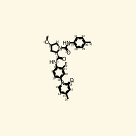 CO[C@@H]1C[C@H](C(=O)Nc2ccc(-n3ccc(C)cc3=O)cc2F)N(C(=O)Nc2ccc(C)cc2)C1